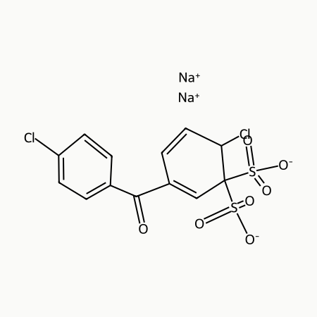 O=C(C1=CC(S(=O)(=O)[O-])(S(=O)(=O)[O-])C(Cl)C=C1)c1ccc(Cl)cc1.[Na+].[Na+]